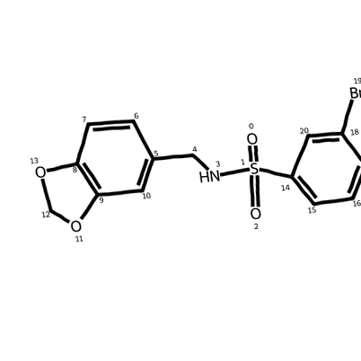 O=S(=O)(NCc1ccc2c(c1)OCO2)c1cccc(Br)c1